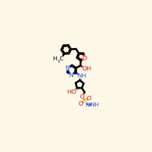 Cc1cccc(Cc2coc(C(O)c3cncnc3N[C@@H]3CC(COS(=O)(=O)N=N)[C@@H](O)C3)c2)c1